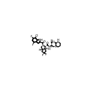 N#C[C@@H](C[C@@H]1CCCNC1=O)NC(=O)[C@@H]1[C@@H]2CC(F)(F)C[C@@H]2CN1C(=O)c1cc2c(F)cc(F)c(Cl)c2[nH]1